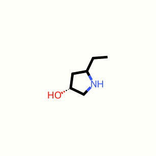 CCC1C[C@@H](O)CN1